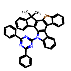 CC1(C)c2ccccc2-c2c1c1sc3ccccc3c1c1c3ccccc3n(-c3nc(-c4ccccc4)nc(-c4ccccc4)n3)c21